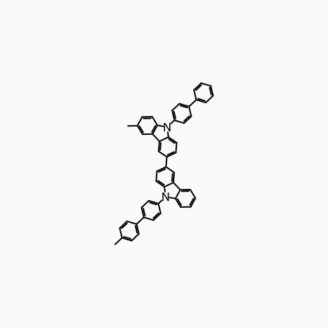 Cc1ccc(-c2ccc(-n3c4ccccc4c4cc(-c5ccc6c(c5)c5cc(C)ccc5n6-c5ccc(-c6ccccc6)cc5)ccc43)cc2)cc1